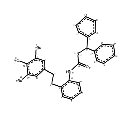 CC(C)(C)c1cc(CCc2ccccc2NC(=O)NC(c2ccccc2)c2ccccc2)cc(C(C)(C)C)c1O